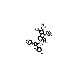 Cc1cc(C(C)n2cnnn2)c(C2CCN(C(=O)C3CN(C4CCOCC4)CC3c3ccc(F)cc3F)CC2)cc1Cl